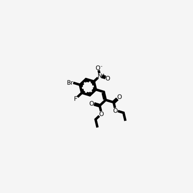 CCOC(=O)C(=Cc1cc(F)c(Br)cc1[N+](=O)[O-])C(=O)OCC